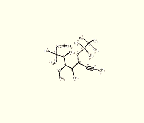 C=CC(C)(O)[C@@H](C)[C@H](OC)C(C)C(C#CC)O[Si](C)(C)C(C)(C)C